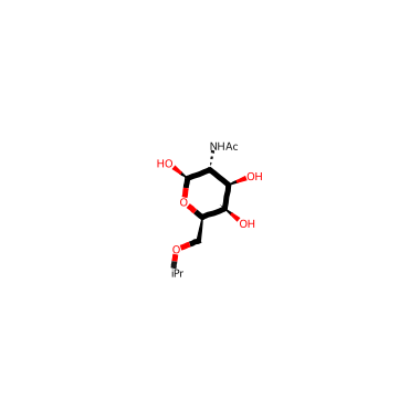 CC(=O)N[C@@H]1[C@@H](O)[C@@H](O)[C@@H](COC(C)C)O[C@H]1O